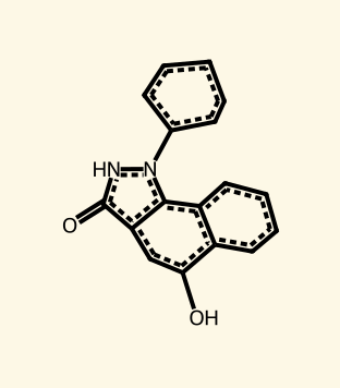 O=c1[nH]n(-c2ccccc2)c2c1cc(O)c1ccccc12